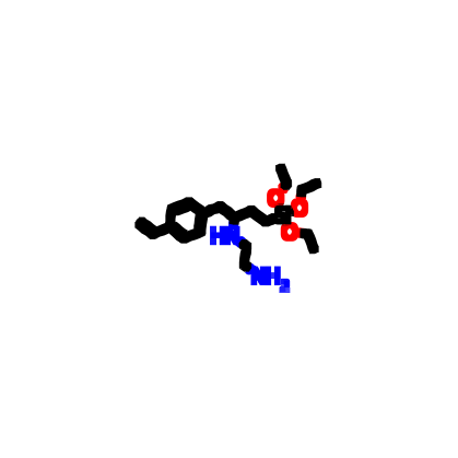 C=Cc1ccc(CC(CC[Si](OCC)(OCC)OCC)NCCN)cc1